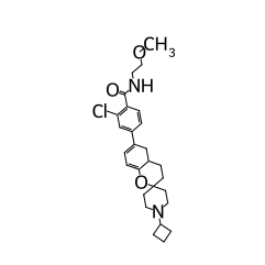 COCCNC(=O)c1ccc(C2=CC=C3OC4(CCC3C2)CCN(C2CCC2)CC4)cc1Cl